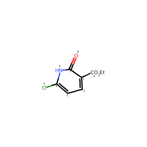 CCOC(=O)c1ccc(Cl)[nH]c1=O